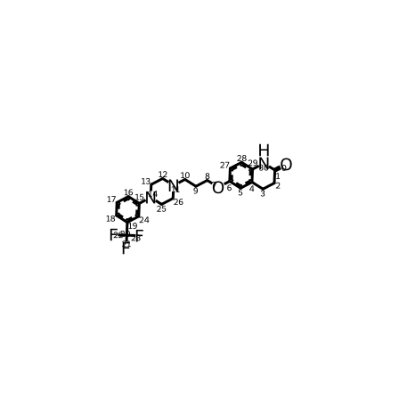 O=C1CCc2cc(OCCCN3CCN(c4cccc(C(F)(F)F)c4)CC3)ccc2N1